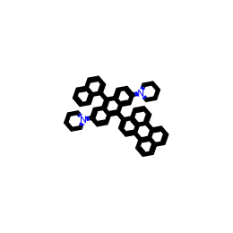 c1ccc2c(-c3c4cc(N5CCCCC5)ccc4c(-c4ccc5c6cccc7cccc(c8cccc4c85)c76)c4cc(N5CCCCC5)ccc34)cccc2c1